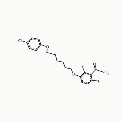 NC(=O)c1c(F)ccc(OCCCCCCOc2ccc(Cl)cc2)c1F